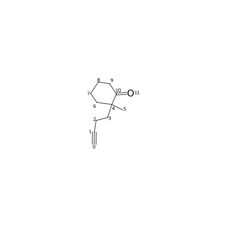 C#CCCC1(C)CCCCC1=O